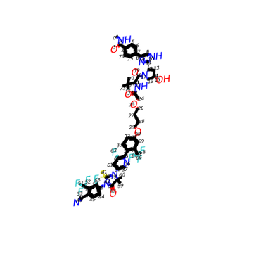 CNC(=O)c1ccc(-c2c[nH]c([C@@H]3C[C@@H](O)CN3C(=O)[C@@H](NC(=O)COCCCCOc3ccc(-c4ncc(N5C(=S)N(c6ccc(C#N)c(C(F)(F)F)c6F)C(=O)C5(C)C)cc4F)c(C(F)(F)F)c3)C(C)(C)C)n2)cc1